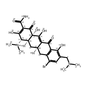 CN(C)Cc1cc(Br)c2c(c1O)C(=O)C1=C(O)[C@]3(O)C(=O)C(C(N)=O)=C(O)[C@@H](N(C)C)[C@@H]3C[C@@H]1C2